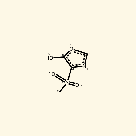 CS(=O)(=O)c1ncoc1O